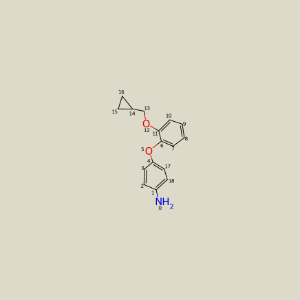 Nc1ccc(Oc2ccccc2OCC2CC2)cc1